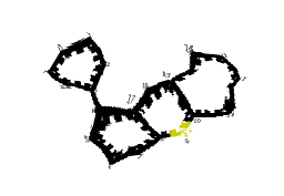 c1ccc(-c2cccc3[s+]c4ccccc4cc23)cc1